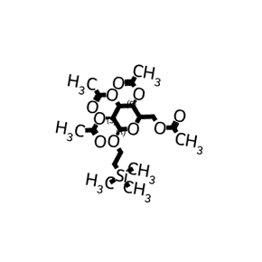 CC(=O)OCC1O[C@@H](OCC[Si](C)(C)C)[C@@H](OC(C)=O)C(OC(C)=O)[C@H]1OC(C)=O